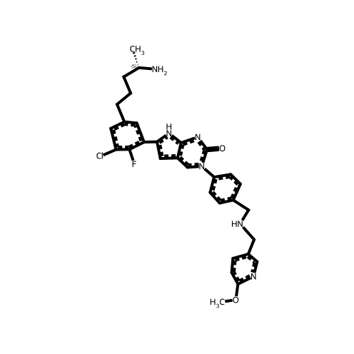 COc1ccc(CNCc2ccc(-n3cc4cc(-c5cc(CCC[C@H](C)N)cc(Cl)c5F)[nH]c4nc3=O)cc2)cn1